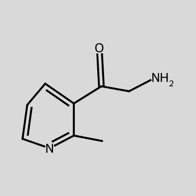 Cc1ncccc1C(=O)CN